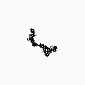 CN[C@@H](C)C(=O)N[C@H](C(=O)N1CC(NC(O)CN2CCN(CCCNc3cc(N4CCC5(CC4)CN(c4cc(F)c(CN6CCC(C)(C)CC6)cc4F)CC(=O)N5)ncn3)CC2)C[C@H]1C(=O)N[C@H]1CCCc2ccccc21)C1CCCCC1